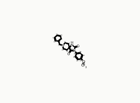 O=C1NC2(CCN(Cc3ccccc3)CC2)C(=O)N1c1ccc(OC(F)(F)F)cc1